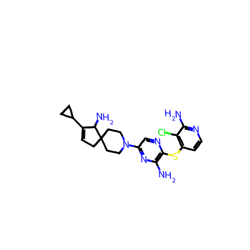 Nc1nc(N2CCC3(CC=C(C4CC4)C3N)CC2)cnc1Sc1ccnc(N)c1Cl